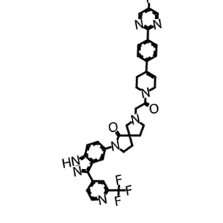 O=C(CN1CCC2(CCN(c3ccc4[nH]nc(-c5ccnc(C(F)(F)F)c5)c4c3)C2=O)C1)N1CC=C(c2ccc(-c3ncc(F)cn3)cc2)CC1